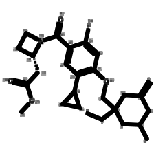 C=C1CC(C)CC(CC)(COc2cc(F)c(C(=O)N3CC[C@H]3CC(=O)OC)cc2C2CC2)C1